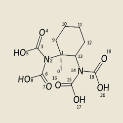 CC1(N(C(=O)O)C(=O)O)CCCCC1N(C(=O)O)C(=O)O